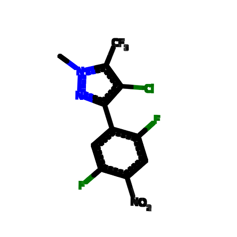 Cn1nc(-c2cc(F)c([N+](=O)[O-])cc2F)c(Cl)c1C(F)(F)F